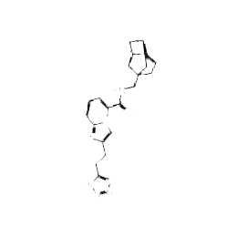 O=C(NCC12CC=C3C(CC3C1)C2)c1cccc2nc(CCc3nnn[nH]3)cn12